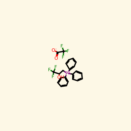 O=C([O-])C(F)(F)F.OC(C[P+](c1ccccc1)(c1ccccc1)c1ccccc1)C(F)(F)F